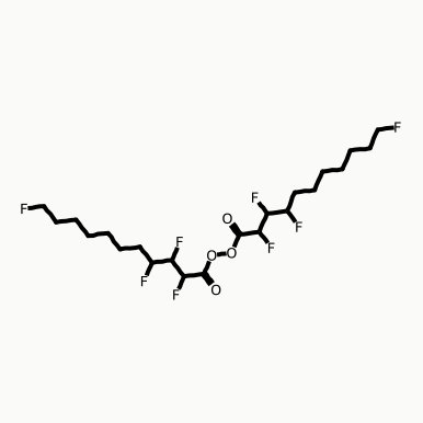 O=C(OOC(=O)C(F)C(F)C(F)CCCCCCCF)C(F)C(F)C(F)CCCCCCCF